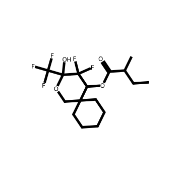 CCC(C)C(=O)OC1C2(CCCCC2)COC(O)(C(F)(F)F)C1(F)F